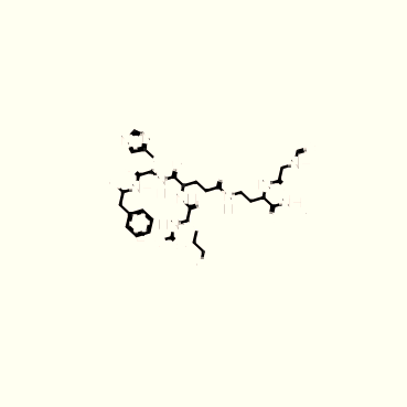 CCCC[C@H](NC(C)=O)C(=O)NC(CCC(=O)NCCC(NC(=O)CNC=O)C(N)=O)C(=O)N[C@@H](Cc1c[nH]cn1)C(=O)NC(C)Cc1ccccc1